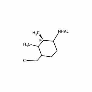 CC(=O)NC1CCC(CCl)C(C)[C@H]1C